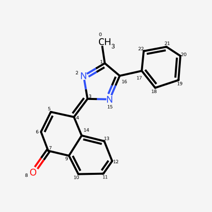 CC1=N/C(=C2\C=CC(=O)c3ccccc32)N=C1c1ccccc1